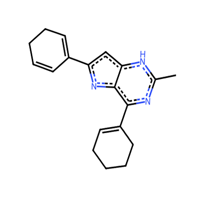 Cc1nc(C2=CCCCC2)c2nc(C3=CCCC=C3)cc-2[nH]1